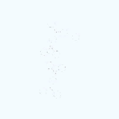 c1ccc(-c2ccc3c(c2)c2cc(-n4c5ccccc5c5c(-c6cccc7c6c6ccccc6n7-c6ccc(N(c7ccccc7)c7ccccc7)cc6)cccc54)ccc2n3-c2ccccc2)cc1